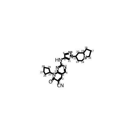 N#Cc1cc2cnc(Nc3cnn(C4CCN5CCCC5C4)c3)nc2n(C2CCCC2)c1=O